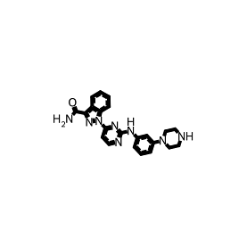 NC(=O)c1nn(-c2ccnc(Nc3cccc(N4CCNCC4)c3)n2)c2ccccc12